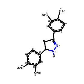 CC(=O)Oc1ccc(C2=NN(C)C(c3ccc(OC(C)=O)c(OC(C)=O)c3)C2)cc1OC(C)=O